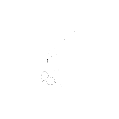 CCCCCCCN1CCC(CC[C@H](O)c2c(Cl)cnc3ccc(OC)cc23)(C(=O)O)CC1